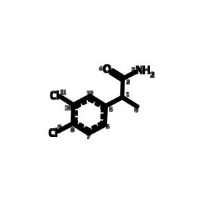 CC(C(N)=O)c1ccc(Cl)c(Cl)c1